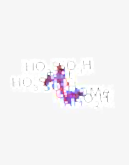 CCN1/C(=C/C=C(/C=C/C2=[N+](CC)c3ccc4c(S(=O)(=O)O)cc(S(=O)(=O)O)cc4c3C2(C)C)c2ccc(C(=O)NCCCCCC(=O)NCc3cc4c(nc3CCCN3CCN([C@@H](CC(=O)O)c5ccc(OC)nc5)C3=O)NCCC4)cn2)C(C)(C)c2c1ccc1c(S(=O)(=O)O)cc(S(=O)(=O)O)cc21